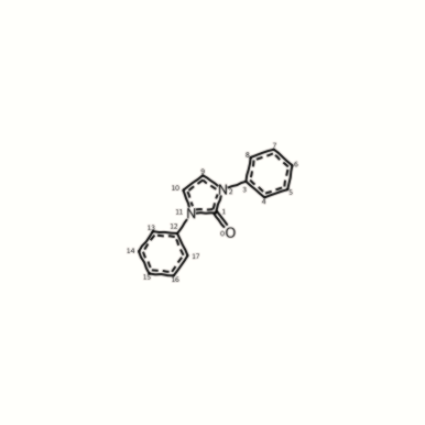 O=c1n(-c2ccccc2)ccn1-c1ccccc1